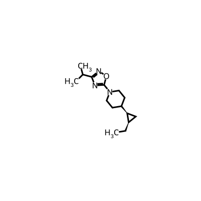 CC[C@@H]1C[C@@H]1C1CCN(c2nc(C(C)C)no2)CC1